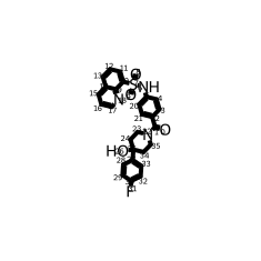 O=C(c1ccc(NS(=O)(=O)c2cccc3cccnc23)cc1)N1CCC(O)(c2ccc(F)cc2)CC1